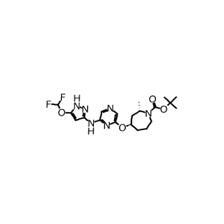 C[C@H]1C[C@H](Oc2cncc(Nc3cc(OC(F)F)[nH]n3)n2)CCCN1C(=O)OC(C)(C)C